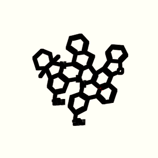 CC(C)(C)c1ccc(N2B3c4cc(C(C)(C)C)cc5c4N(c4c3c(cc3ccccc43)-c3c2ccc2oc4ccccc4c32)C2(C)CCCCC52C)c(-c2ccccc2)c1